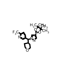 CC1(C)OB(c2cnn(C(c3ccc(C(F)(F)F)nc3)C3CCOCC3)c2)OC1(C)C